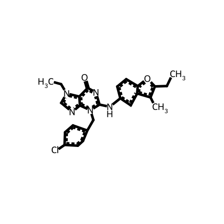 CCc1oc2ccc(Nc3nc(=O)c4c(ncn4CC)n3Cc3ccc(Cl)cc3)cc2c1C